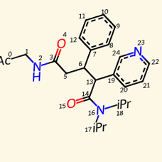 CC(=O)CNC(=O)CC(c1ccccc1)C(C(=O)N(C(C)C)C(C)C)c1cccnc1